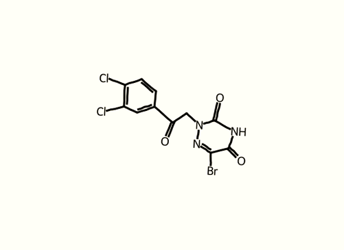 O=C(Cn1nc(Br)c(=O)[nH]c1=O)c1ccc(Cl)c(Cl)c1